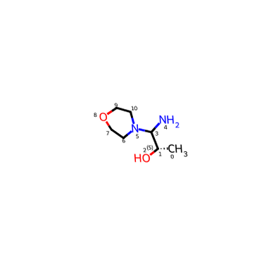 C[C@H](O)C(N)N1CCOCC1